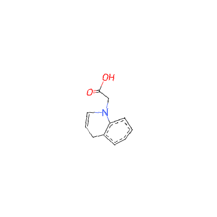 O=C(O)CN1C=CCc2ccccc21